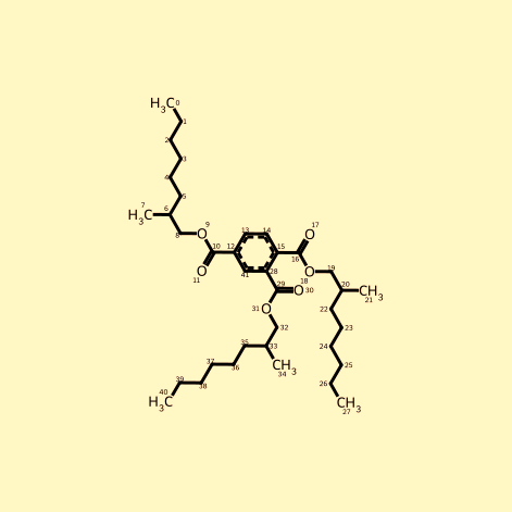 CCCCCCC(C)COC(=O)c1ccc(C(=O)OCC(C)CCCCCC)c(C(=O)OCC(C)CCCCCC)c1